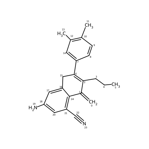 C=C1C(CCC)=C(c2ccc(C)c(C)c2)Cc2cc(N)cc(C#N)c21